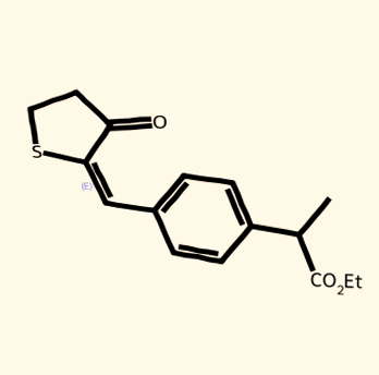 CCOC(=O)C(C)c1ccc(/C=C2/SCCC2=O)cc1